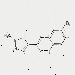 Cc1nnc(-c2ccc3cnc(N)cc3c2)s1